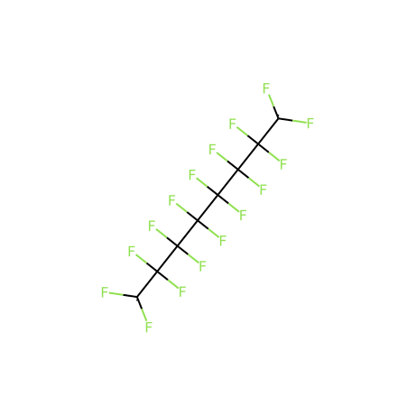 F[C](F)C(F)(F)C(F)(F)C(F)(F)C(F)(F)C(F)(F)C(F)(F)[C](F)F